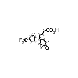 Cn1cc(/C(=C\C=C\C(=O)O)c2ccc(C(F)(F)F)cc2)ccc1=O